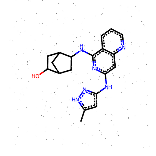 Cc1cc(Nc2cc3ncccc3c(NC3CC4CC3CC4O)n2)n[nH]1